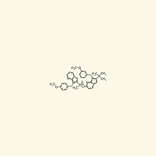 COc1ccc(Cn2c(C(C)(C)Cc3ccc4cc(C(C)(C)C)n(Cc5cccc(OC)c5)c4n3)cc3cccnc32)cc1